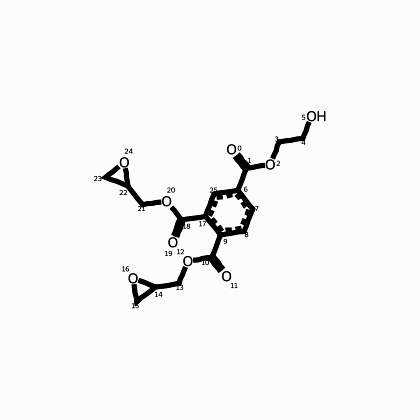 O=C(OCCO)c1ccc(C(=O)OCC2CO2)c(C(=O)OCC2CO2)c1